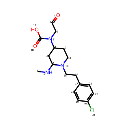 CNC1CC(N(CC=O)C(=O)O)CCN1CCc1ccc(Cl)cc1